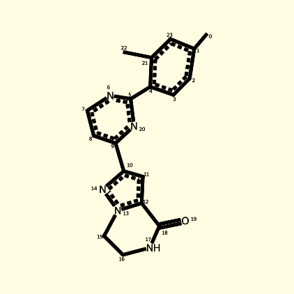 Cc1ccc(-c2nccc(-c3cc4n(n3)CCNC4=O)n2)c(C)c1